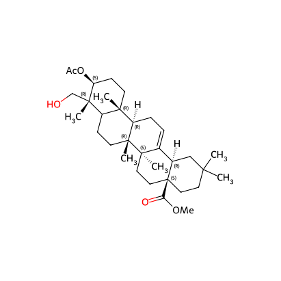 COC(=O)[C@]12CCC(C)(C)C[C@@H]1C1=CC[C@@H]3[C@@]4(C)CC[C@H](OC(C)=O)[C@@](C)(CO)C4CC[C@@]3(C)[C@]1(C)CC2